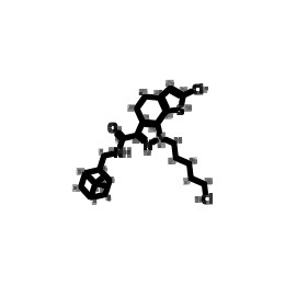 CC1(C)C2CCC(CNC(=O)c3nn(CCCCCCl)c4c3CCc3cc(Cl)sc3-4)C1C2